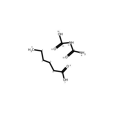 CCCCCC(=O)O.NC(=O)NC(=O)O